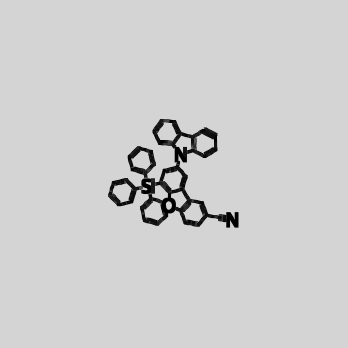 N#Cc1ccc2oc3c([Si](c4ccccc4)(c4ccccc4)c4ccccc4)cc(-n4c5ccc#cc5c5ccccc54)cc3c2c1